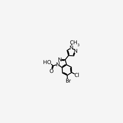 Cn1cc(-c2nn(C(=O)O)c3cc(Br)c(Cl)cc23)cn1